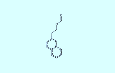 O=COCCc1ccc2ccccc2c1